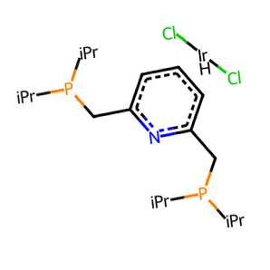 CC(C)P(Cc1cccc(CP(C(C)C)C(C)C)n1)C(C)C.[Cl][IrH][Cl]